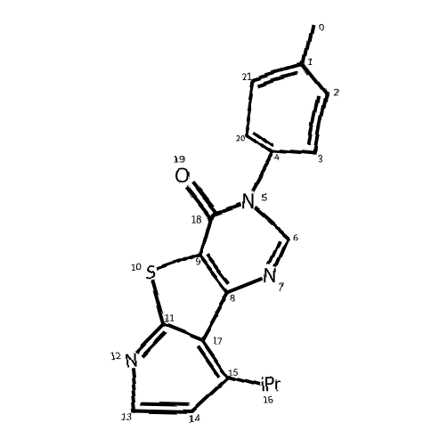 Cc1ccc(-n2cnc3c(sc4nccc(C(C)C)c43)c2=O)cc1